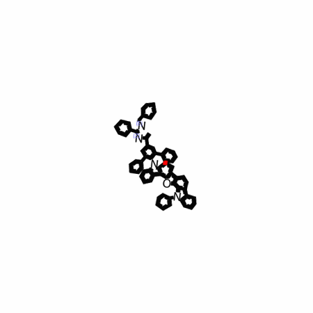 C=C(/N=C(\N=C\c1ccccc1)c1ccccc1)c1cc(-c2ccccc2)c(-n2c3ccccc3c3c4oc5c(ccc6c7ccccc7n(-c7ccccc7)c65)c4ccc32)c(-c2ccccc2)c1